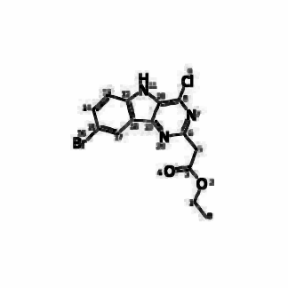 CCOC(=O)Cc1nc(Cl)c2[nH]c3ccc(Br)cc3c2n1